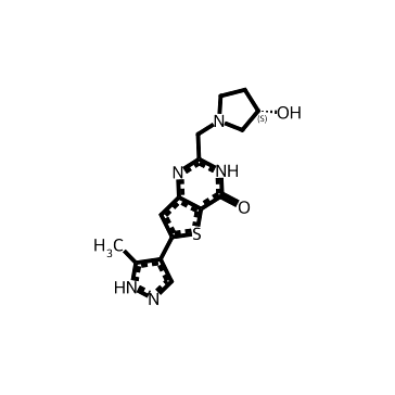 Cc1[nH]ncc1-c1cc2nc(CN3CC[C@H](O)C3)[nH]c(=O)c2s1